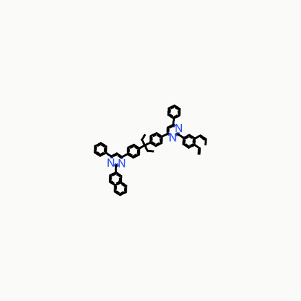 C=Cc1ccc(-c2nc(-c3ccccc3)cc(-c3ccc(C(CC)(CC)c4ccc(-c5cc(-c6ccccc6)nc(-c6ccc7ccccc7c6)n5)cc4)cc3)n2)cc1/C=C\C